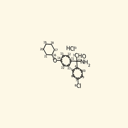 Cl.NC(C=O)(c1ccc(Cl)cc1)c1ccc(OC2CCCCC2)cc1